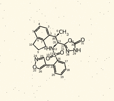 C[C@H](c1cccc2c1CCC2)[C@H](NS(=O)(=O)c1ccccc1-c1cnoc1)c1n[nH]c(=O)o1